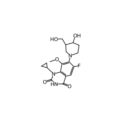 COc1c(N2CCC(O)C(CO)C2)c(F)cc2c(=O)[nH]c(=O)n(C3CC3)c12